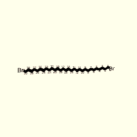 BrCCCCCCCCCCCCCCCCCCCCCCCCCCCCCCBr